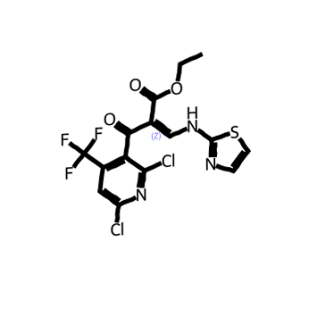 CCOC(=O)/C(=C\Nc1nccs1)C(=O)c1c(C(F)(F)F)cc(Cl)nc1Cl